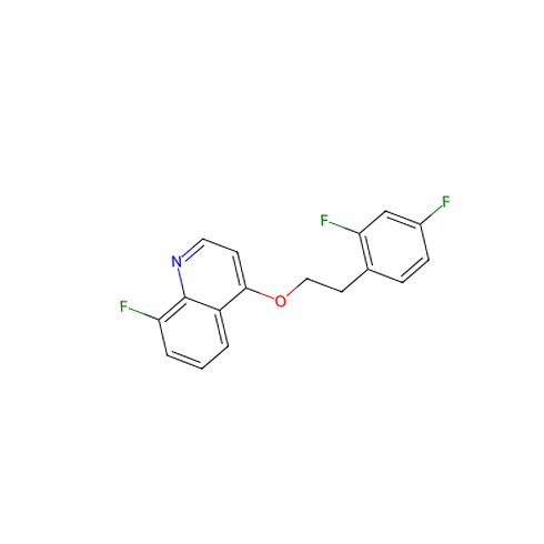 Fc1ccc(CCOc2ccnc3c(F)cccc23)c(F)c1